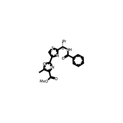 COC(=O)c1nc(-c2csc([C@@H](NC(=O)c3ccccc3)C(C)C)n2)oc1C